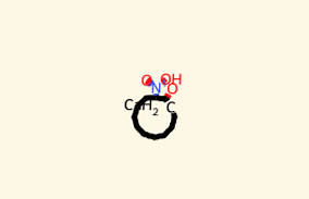 O=C1CCCCCCCCCCC1[N+](=O)O.[CaH2]